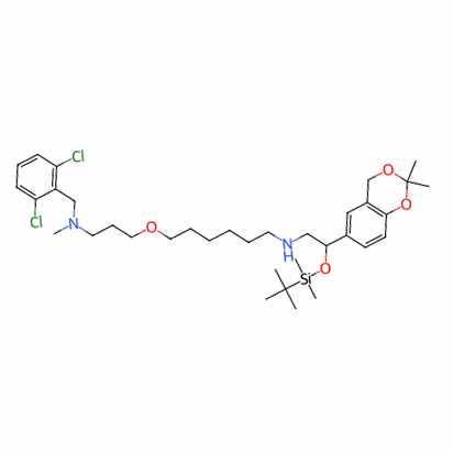 CN(CCCOCCCCCCNCC(O[Si](C)(C)C(C)(C)C)c1ccc2c(c1)COC(C)(C)O2)Cc1c(Cl)cccc1Cl